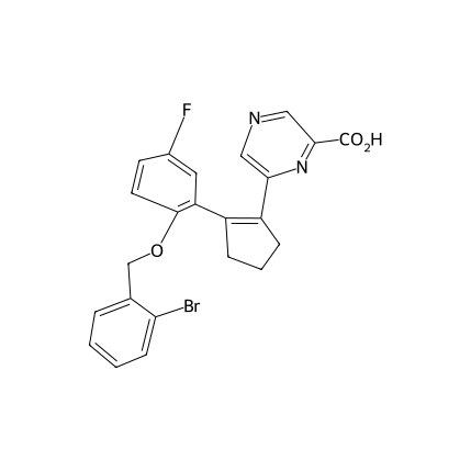 O=C(O)c1cncc(C2=C(c3cc(F)ccc3OCc3ccccc3Br)CCC2)n1